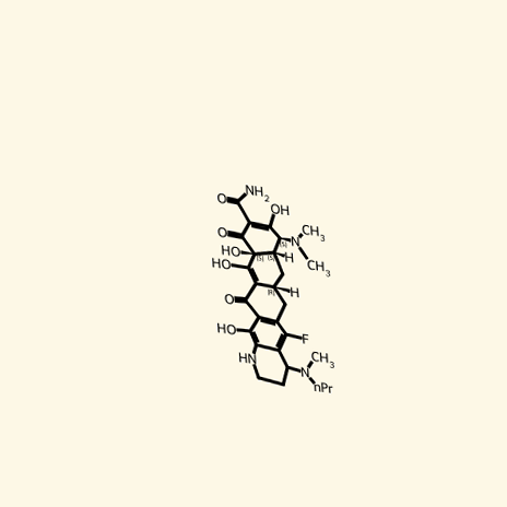 CCCN(C)C1CCNc2c(O)c3c(c(F)c21)C[C@H]1C[C@H]2[C@H](N(C)C)C(O)=C(C(N)=O)C(=O)[C@@]2(O)C(O)=C1C3=O